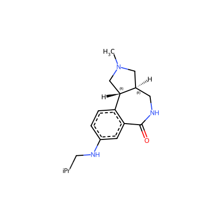 CC(C)CNc1ccc2c(c1)C(=O)NC[C@@H]1CN(C)C[C@@H]21